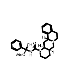 CO[C@@](C)(NC(=O)N1CCC[C@@H]2CN3CCc4ccccc4[C@H]3C[C@@H]21)c1ccccc1